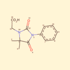 CC1(C)C(=O)N(c2ccccc2)C(=O)N1CC(=O)O